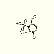 O=Cc1ccc(O)cc1S(=O)(=O)O.[NaH]